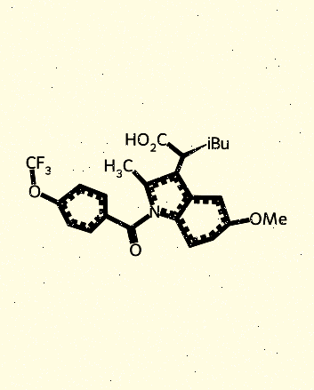 CC[C@H](C)C(C(=O)O)c1c(C)n(C(=O)c2ccc(OC(F)(F)F)cc2)c2ccc(OC)cc12